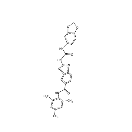 Cc1cc(C)c(NC(=O)c2ccc3nc(NC(=O)Nc4ccc5c(c4)OCO5)sc3c2)c(C)c1